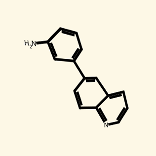 Nc1cccc(-c2ccc3ncccc3c2)c1